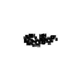 Nc1ncnc(N)c1C#Cc1cccc(NC(=O)Nc2cccc(C(F)(F)F)c2)c1